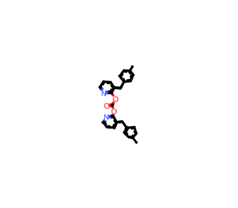 Cc1ccc(Cc2cccnc2OC(=O)Oc2ncccc2Cc2ccc(C)cc2)cc1